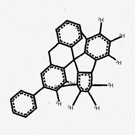 [2H]c1c(-c2ccccc2)cc2c(c1[2H])C1(c3ccccc3C2)c2c([2H])c([2H])c([2H])c([2H])c2-c2c([2H])c([2H])c([2H])c([2H])c21